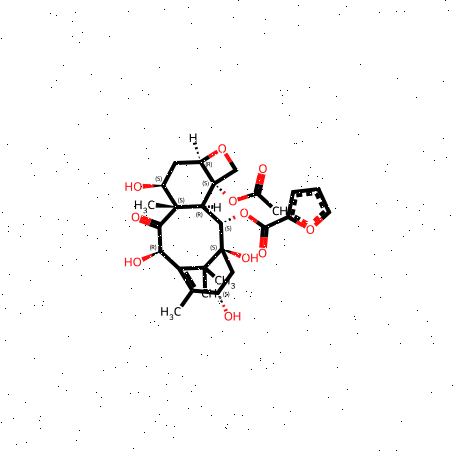 CC(=O)O[C@@]12CO[C@@H]1C[C@H](O)[C@@]1(C)C(=O)[C@H](O)C3=C(C)[C@@H](O)C[C@@](O)([C@@H](OC(=O)c4ccco4)[C@H]21)C3(C)C